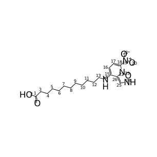 O=C(O)CCCCCCCCCCCNC1=CC=C([N+](=O)[O-])N2ONC=C12